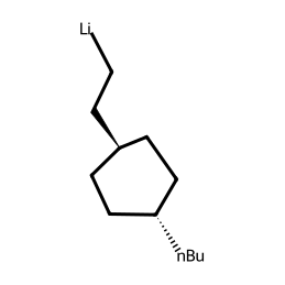 [Li][CH2]C[C@H]1CC[C@H](CCCC)CC1